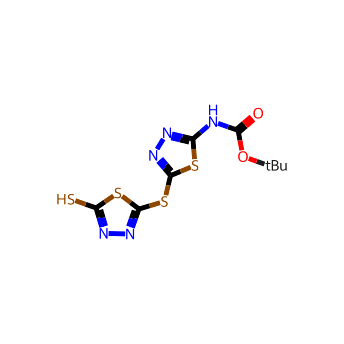 CC(C)(C)OC(=O)Nc1nnc(Sc2nnc(S)s2)s1